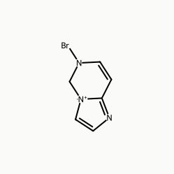 BrN1C=CC2=NC=C[N+]2C1